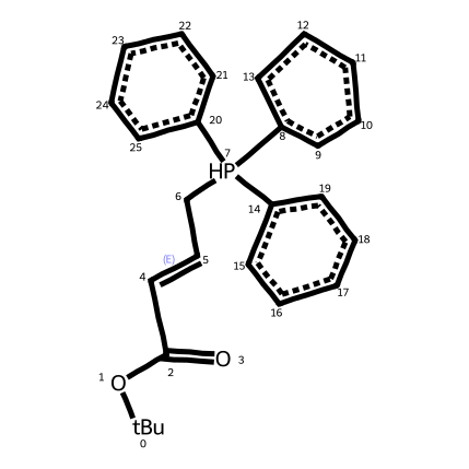 CC(C)(C)OC(=O)/C=C/C[PH](c1ccccc1)(c1ccccc1)c1ccccc1